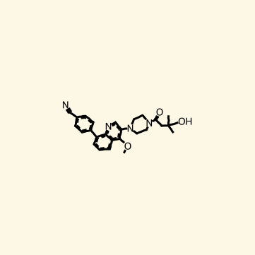 COc1c(N2CCN(C(=O)CC(C)(C)O)CC2)cnc2c(-c3ccc(C#N)cc3)cccc12